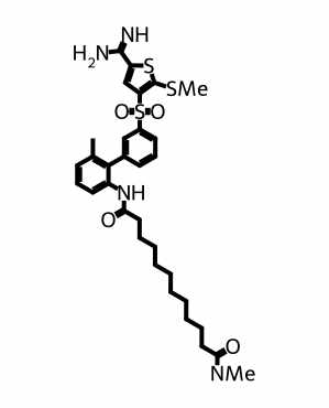 CNC(=O)CCCCCCCCCCC(=O)Nc1cccc(C)c1-c1cccc(S(=O)(=O)c2cc(C(=N)N)sc2SC)c1